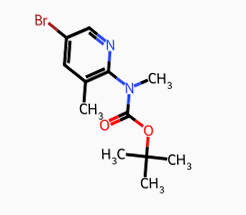 Cc1cc(Br)cnc1N(C)C(=O)OC(C)(C)C